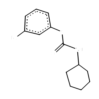 CC(C)(C)c1cccc(SC(=O)NC2CCCCC2)c1